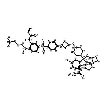 C=CC(=O)Nc1cc(S(=O)(=O)c2ccc(N3CC(CN4CCC([C@@](CN5CCC5)(c5cccc(F)c5)[C@H]5CCC[C@@H]5NC(=O)OC)CC4)C3)cc2)ccc1N(C)CCCN(C)C